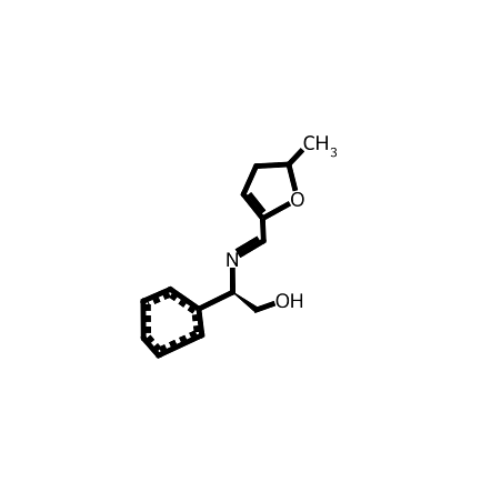 CC1CC=C(/C=N/[C@@H](CO)c2ccccc2)O1